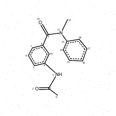 CC(=O)Nc1cccc(C(=O)N(C)c2ccccc2)c1